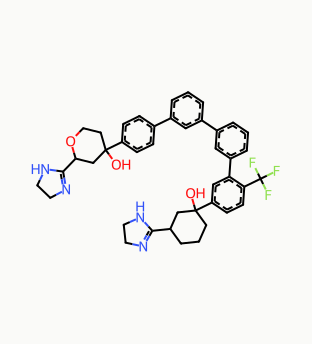 OC1(c2ccc(C(F)(F)F)c(-c3cccc(-c4cccc(-c5ccc(C6(O)CCOC(C7=NCCN7)C6)cc5)c4)c3)c2)CCCC(C2=NCCN2)C1